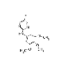 COc1cc(Nc2ncc(F)cn2)cc(OC)c1OC